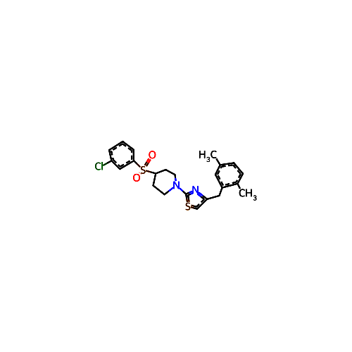 Cc1ccc(C)c(Cc2csc(N3CCC(S(=O)(=O)c4cccc(Cl)c4)CC3)n2)c1